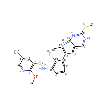 COc1ncc(Cl)cc1SNc1cccc(-c2cc3cnc(SC)nc3nc2C)c1F